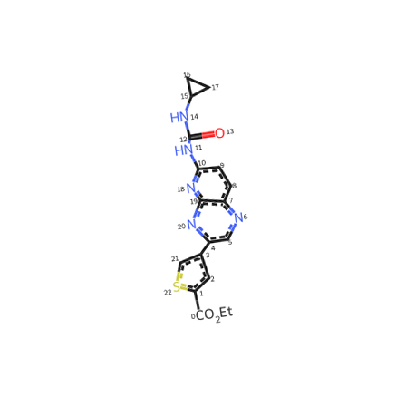 CCOC(=O)c1cc(-c2cnc3ccc(NC(=O)NC4CC4)nc3n2)cs1